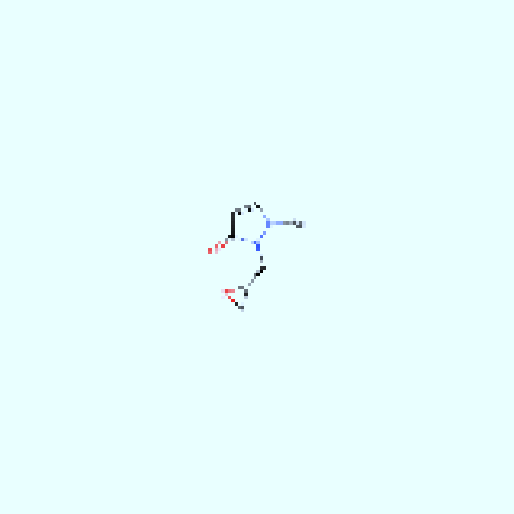 CC(=O)n1ccc(=O)n1C[C@H]1CO1